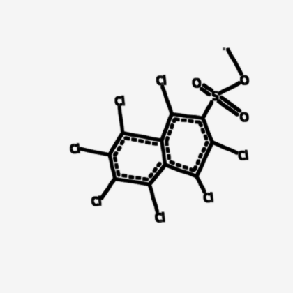 [CH2]OS(=O)(=O)c1c(Cl)c(Cl)c2c(Cl)c(Cl)c(Cl)c(Cl)c2c1Cl